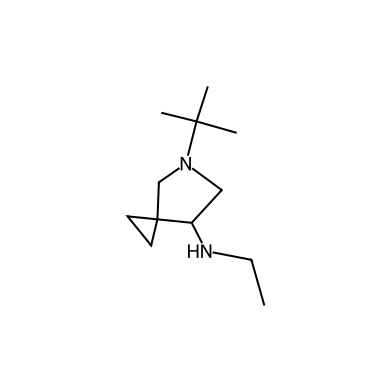 CCNC1CN(C(C)(C)C)CC12CC2